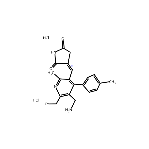 Cc1ccc(-c2c(/C=C3/SC(=O)NC3=O)c(C)nc(CC(C)C)c2CN)cc1.Cl.Cl